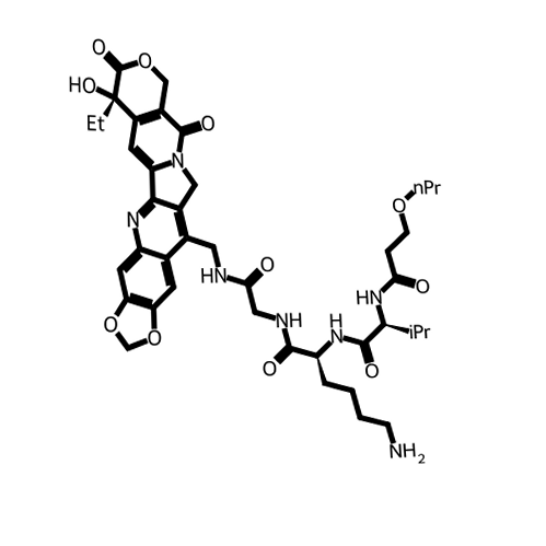 CCCOCCC(=O)N[C@H](C(=O)N[C@@H](CCCCN)C(=O)NCC(=O)NCc1c2c(nc3cc4c(cc13)OCO4)-c1cc3c(c(=O)n1C2)COC(=O)[C@]3(O)CC)C(C)C